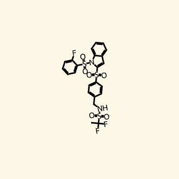 CC(F)(F)S(=O)(=O)NCc1ccc(S(=O)(=O)c2cc3ccccc3n2S(=O)(=O)c2ccccc2F)cc1